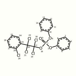 O=P(Oc1ccccc1)(Oc1ccccc1)OC(Cl)(Cl)C(Cl)(Cl)c1ccccc1Cl